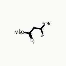 CCCCC(F)CC(=O)OC